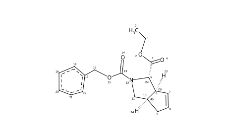 CCOC(=O)[C@@H]1[C@H]2C=CC[C@H]2CN1C(=O)OCc1ccccc1